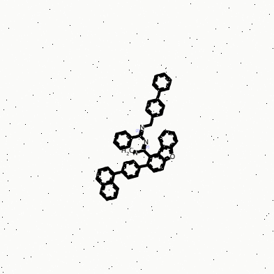 C=N/C(=N\C(=N/Cc1ccc(-c2ccccc2)cc1)c1ccccc1)c1c(-c2ccc(-c3cccc4ccccc34)cc2)ccc2oc3ccccc3c12